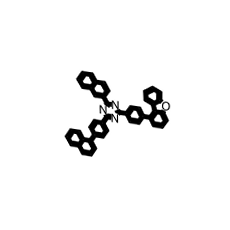 c1ccc2cc(-c3nc(-c4ccc(-c5cccc6ccccc56)cc4)nc(-c4ccc(-c5cccc6oc7ccccc7c56)cc4)n3)ccc2c1